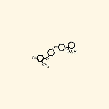 Cc1cc(F)ccc1OC1CCN(CC2CCN(C3(C(=O)O)CCCCC3)CC2)CC1